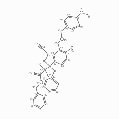 C#CCCC(Cc1ccccc1)(c1ccc(Cl)c(COCc2ccc(OC)cc2)c1)C(C)(C)C(=O)OCc1ccccc1